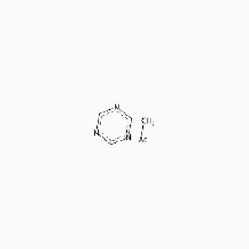 CC(C)=O.c1ncncn1